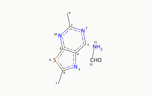 Cc1ncc2nc(C)sc2n1.NC=O